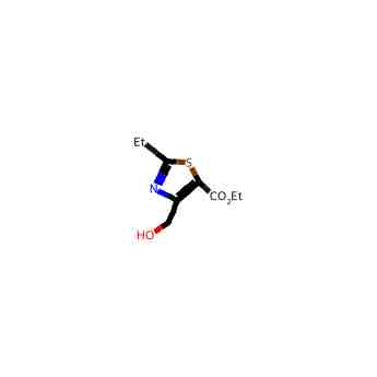 CCOC(=O)c1sc(CC)nc1CO